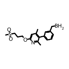 BCc1cccc(-c2c(C)cc(OCCCS(C)(=O)=O)nc2C)c1